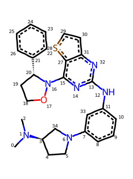 CN(C)[C@@H]1CCN(c2cccc(Nc3nc(N4OCC[C@@H]4c4ccccc4)c4sccc4n3)c2)C1